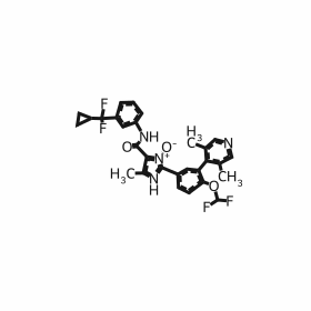 Cc1cncc(C)c1-c1cc(-c2[nH]c(C)c(C(=O)Nc3cccc(C(F)(F)C4CC4)c3)[n+]2[O-])ccc1OC(F)F